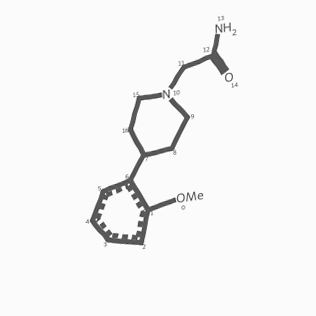 COc1ccccc1C1CCN(CC(N)=O)CC1